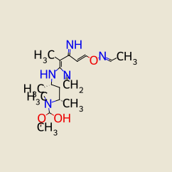 C=N/C(N[C@@H](C)C[C@H](C)N(C)C(O)OC)=C(/C)C(=N)/C=C/O/N=C/C